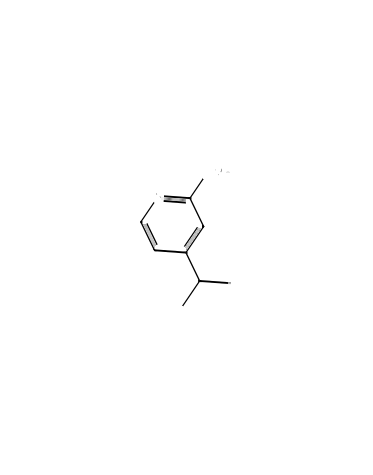 COc1cc(C(C)I)ccn1